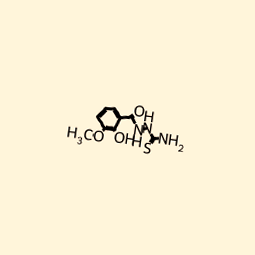 COc1cccc(C(=O)NNC(N)=S)c1O